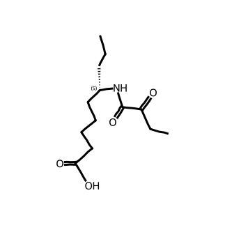 CCC[C@@H](CCCCC(=O)O)NC(=O)C(=O)CC